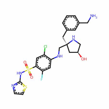 NCc1cccc(C[C@@]2(CNc3cc(F)c(S(=O)(=O)Nc4nccs4)cc3Cl)C[C@H](O)CN2)c1